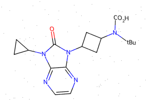 CC(C)(C)N(C(=O)O)C1CC(n2c(=O)n(C3CC3)c3nccnc32)C1